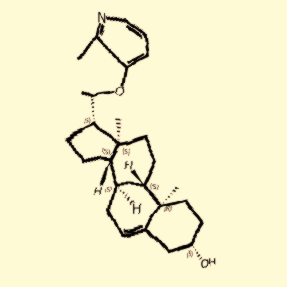 Cc1ncccc1OC(C)[C@H]1CC[C@H]2[C@@H]3CC=C4C[C@@H](O)CC[C@]4(C)[C@H]3CC[C@]12C